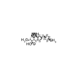 CCC[C@H](C(=O)O)[C@H](Cc1ccc(CN2CCN(C)CC2)cc1)c1nn[nH]n1